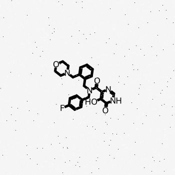 O=C(c1nc[nH]c(=O)c1O)N(Cc1ccc(F)cc1)Cc1ccccc1CN1CCOCC1